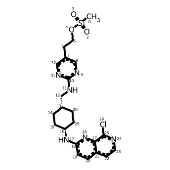 CS(=O)(=O)OCCc1cnc(NC[C@H]2CC[C@H](Nc3ccc4ccnc(Cl)c4n3)CC2)nc1